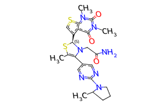 CC1=C(c2cnc(N3CCCC3C)nc2)N(CC(N)=O)[C@H](c2csc3c2c(=O)n(C)c(=O)n3C)S1